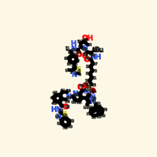 Cc1ncsc1-c1ccc([C@H](C)NC(=O)[C@@H]2C[C@@H](O)CN2C(=O)[C@@H](NC(=O)CCCCCCCS(=O)(=O)NC(=O)c2nc(N3CCc4cccc(C(=O)Nc5nc6ccccc6s5)c4C3)ccc2-c2cnn(CC34CC5CC(CC(C5)C3)C4)c2C)C(C)(C)C)cc1